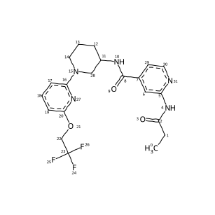 CCC(=O)Nc1cc(C(=O)NC2CCCN(c3cccc(OCC(F)(F)F)n3)C2)ccn1